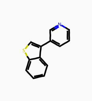 [c]1sc2ccccc2c1-c1cccnc1